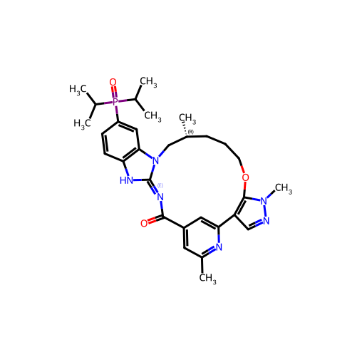 Cc1cc2cc(n1)-c1cnn(C)c1OCCC[C@@H](C)CN1/C(=N/C2=O)Nc2ccc(P(=O)(C(C)C)C(C)C)cc21